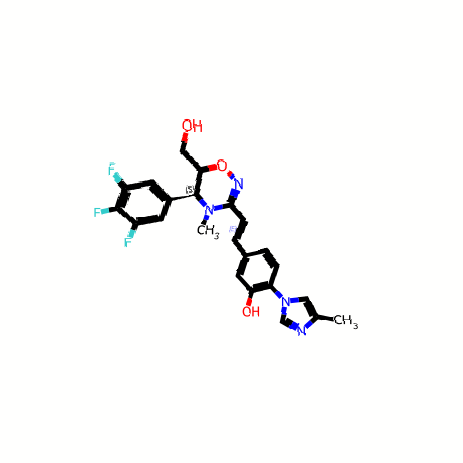 Cc1cn(-c2ccc(/C=C/C3=NOC(CO)[C@H](c4cc(F)c(F)c(F)c4)N3C)cc2O)cn1